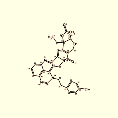 CC[C@@]1(OC(C)=O)C(=O)OCc2c1cc1n(c2=O)Cc2c-1nc1cccc3c1c2N(CCc1ccc(Cl)cc1)C=N3